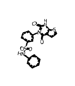 O=c1[nH]c2sccc2c(=O)n1-c1cccc(S(=O)(=O)Nc2ccccc2)c1